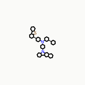 c1ccc(-c2cccc(N(c3ccc(-c4cccc5c4sc4ccccc45)cc3)c3ccc(-n4c5ccccc5c5cc6ccccc6cc54)cc3)c2)cc1